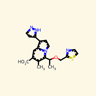 Cc1c(C(=O)O)cc2c(-c3ccn[nH]3)ccn2c1C(C)OCc1nccs1